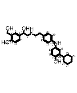 OCc1cc(C(O)CNCCc2ccc(Nc3ccc(O)c(C4CCCCC4)c3)cc2)ccc1O